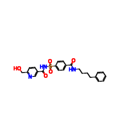 O=C(NCCCCc1ccccc1)c1ccc(S(=O)(=O)NC(=O)c2ccc(CO)nc2)cc1